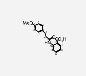 COc1ccc(CCC(=O)Nc2ccccc2C(=O)O)cc1